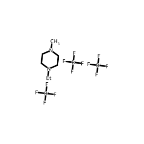 CCN1CCN(C)CC1.F[B-](F)(F)F.F[B-](F)(F)F.F[B-](F)(F)F